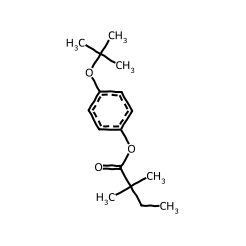 CCC(C)(C)C(=O)Oc1ccc(OC(C)(C)C)cc1